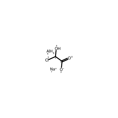 O=C([O-])C(O)Cl.[AlH3].[Na+]